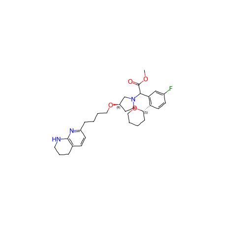 COC(=O)C(c1cc(F)ccc1[C@@H]1CCCCO1)N1CC[C@@H](OCCCCc2ccc3c(n2)NCCC3)C1